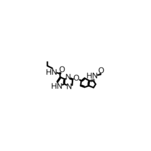 CCCNC(=O)c1c[nH]c2ncc(Oc3ccc4c(c3)[C@H](NC=O)CC4)nc12